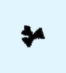 CC/C=C(C)\C(=C/CC)N(C1=CC=C(C2=NC(C)(c3ccc(N(c4ccc(C)cc4C)c4ccc(C)cc4C)cc3)N[C@@H](c3ccc(N(c4ccc(C)cc4C)c4ccc(C)cc4C)cc3)C2)CC1)c1ccc(C)cc1C